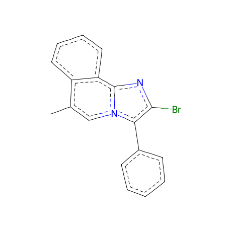 Cc1cn2c(-c3ccccc3)c(Br)nc2c2ccccc12